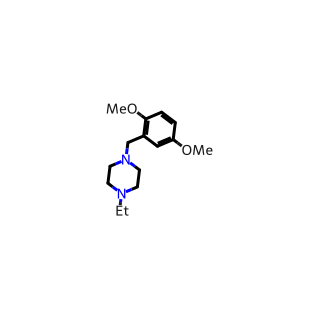 CCN1CCN(Cc2cc(OC)ccc2OC)CC1